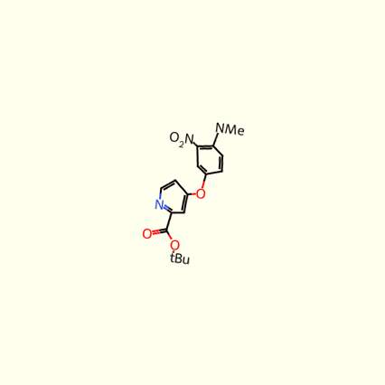 CNc1ccc(Oc2ccnc(C(=O)OC(C)(C)C)c2)cc1[N+](=O)[O-]